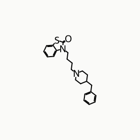 O=c1sc2ccccc2n1CCCCN1CCC(Cc2ccccc2)CC1